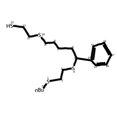 CCCCSCCSC(CCCCSCCS)c1ccccc1